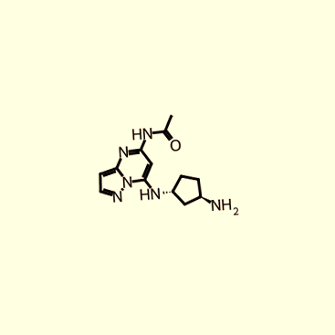 CC(=O)Nc1cc(N[C@@H]2CC[C@@H](N)C2)n2nccc2n1